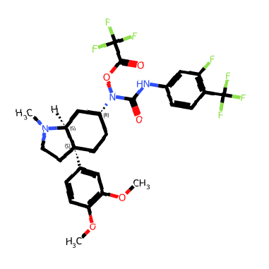 COc1ccc([C@@]23CC[C@@H](N(OC(=O)C(F)(F)F)C(=O)Nc4ccc(C(F)(F)F)c(F)c4)C[C@@H]2N(C)CC3)cc1OC